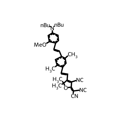 [C-]#[N+]C1=C(/C=C/c2cc(C)c(/C=C/c3ccc(N(CCCC)CCCC)cc3OC)cc2C)C(C)(C)O/C1=C(\C#N)[N+]#[C-]